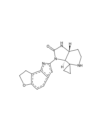 O=C1N[C@@H]2CCNC3(CC3)[C@H]2N1c1nc2c3c(ccc2s1)OCC3